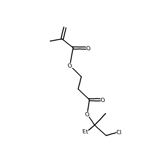 C=C(C)C(=O)OCCC(=O)OC(C)(CC)CCl